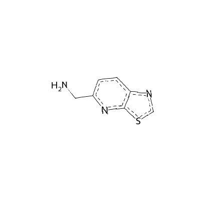 NCc1ccc2ncsc2n1